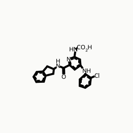 O=C(O)Nc1cc(Nc2ccccc2Cl)cc(C(=O)NC2Cc3ccccc3C2)n1